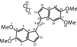 COc1cc2c(cc1OC)[CH]([Ti+2][CH]1C=Cc3cc(OC)c(OC)cc31)C=C2.[Cl-].[Cl-]